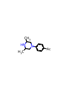 CC(=O)c1ccc(N2CC(C)NC(C)C2)cc1